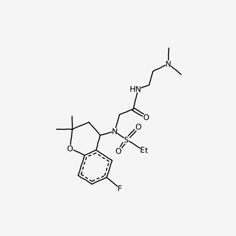 CCS(=O)(=O)N(CC(=O)NCCN(C)C)C1CC(C)(C)Oc2ccc(F)cc21